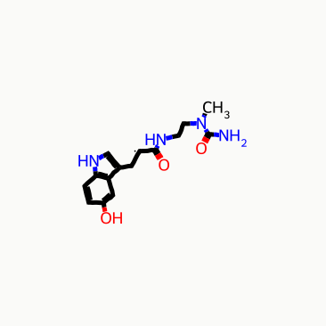 CN(CCNC(=O)[CH]Cc1c[nH]c2ccc(O)cc12)C(N)=O